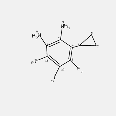 Nc1c(N)c(C2CC2)c(F)c(I)c1F